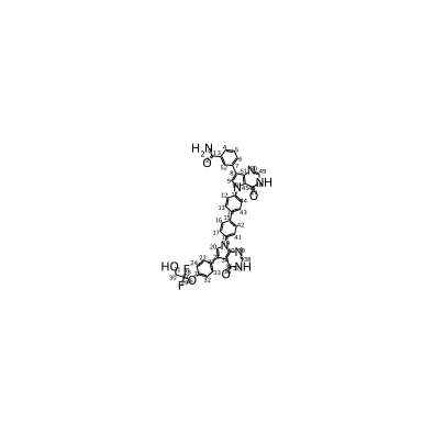 NC(=O)c1cccc(-c2cn(-c3ccc(-c4ccc(-n5cc(-c6ccc(OC(F)(F)CO)cc6)c6c(=O)[nH]cnc65)cc4)cc3)c3c(=O)[nH]cnc23)c1